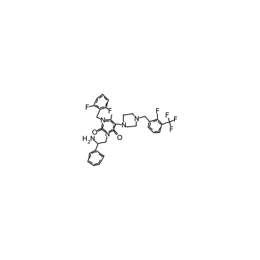 Cc1c(N2CCN(Cc3cccc(C(F)(F)F)c3F)CC2)c(=O)n(CC(N)c2ccccc2)c(=O)n1Cc1c(F)cccc1F